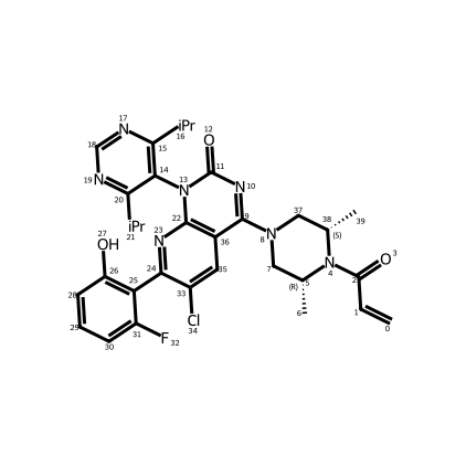 C=CC(=O)N1[C@H](C)CN(c2nc(=O)n(-c3c(C(C)C)ncnc3C(C)C)c3nc(-c4c(O)cccc4F)c(Cl)cc23)C[C@@H]1C